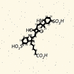 CC1(CCCCCC(=O)O)C(/C=C2/C(=O)C(/C=C3/Nc4ccc(S(=O)(=O)O)cc4C3(C)C)=C2O)=Nc2ccc(S(=O)(=O)O)cc21